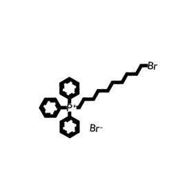 BrCCCCCCCCCC[P+](c1ccccc1)(c1ccccc1)c1ccccc1.[Br-]